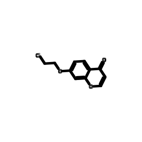 O=c1ccoc2cc(OCCCl)ccc12